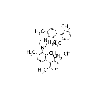 Cc1cccc(C)c1-c1ccc(C)c(N2C=[N+](c3c(C)ccc(-c4c(C)cccc4C)c3C)CC2)c1C.[Cl-]